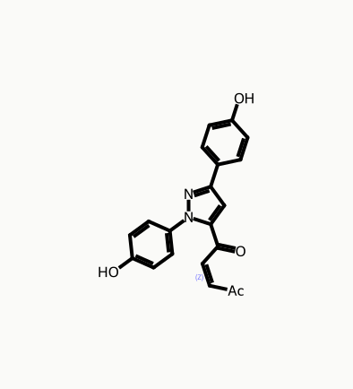 CC(=O)/C=C\C(=O)c1cc(-c2ccc(O)cc2)nn1-c1ccc(O)cc1